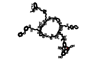 CC1NC(=O)CNC(=O)C2CCCN2C(=O)C(CCCCNC(=O)c2cccc(Oc3ccccc3)c2)NC(=O)C(C)NC(=O)C(CCCCn2cc(COc3cccc(C(F)(F)F)n3)nn2)NC(=O)CNC(=O)C2CCCN2C(=O)C(CCCCNC(=O)c2cnc(N3CCOCC3)nc2)NC(=O)C(CCCCNC(=S)Nc2ccc3c(c2)C(O)OC32c3ccc(O)cc3Oc3cc(O)ccc32)NC1=O